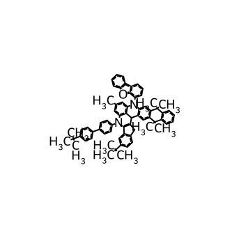 Cc1cc2c3c(c1)N(c1cccc4c1oc1ccccc14)c1cc4c(cc1C3C1=C(c3cc(C(C)(C)C)ccc3C1)N2c1ccc(-c2ccc(C(C)(C)C)cc2)cc1)C(C)(C)c1ccccc1C4(C)C